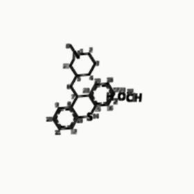 CN1CCCC(CC2c3ccccc3Sc3ccccc32)C1.Cl.O